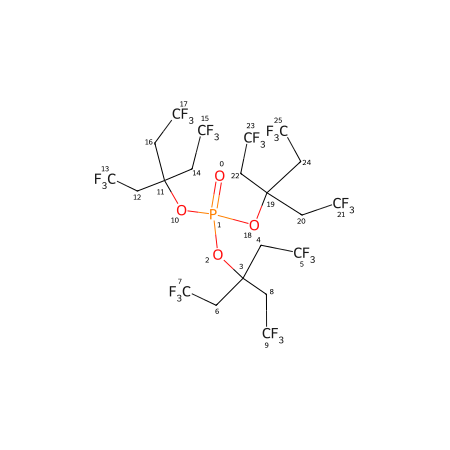 O=P(OC(CC(F)(F)F)(CC(F)(F)F)CC(F)(F)F)(OC(CC(F)(F)F)(CC(F)(F)F)CC(F)(F)F)OC(CC(F)(F)F)(CC(F)(F)F)CC(F)(F)F